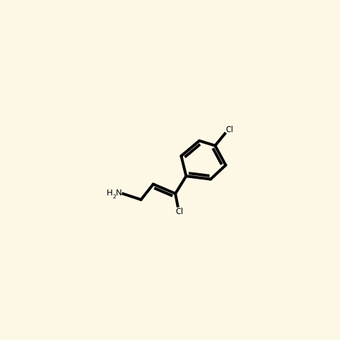 NCC=C(Cl)c1ccc(Cl)cc1